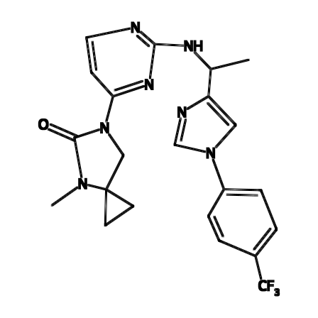 CC(Nc1nccc(N2CC3(CC3)N(C)C2=O)n1)c1cn(-c2ccc(C(F)(F)F)cc2)cn1